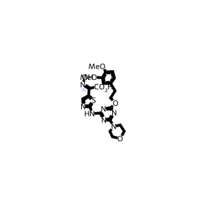 COc1ccc(CCOc2nc(Nc3ncc(/C(=N/O)C(=O)O)s3)nc(N3CCOCC3)n2)cc1OC